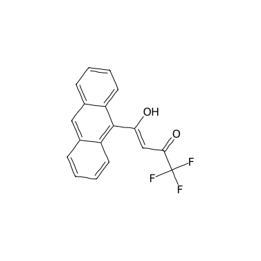 O=C(C=C(O)c1c2ccccc2cc2ccccc12)C(F)(F)F